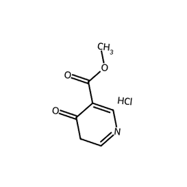 COC(=O)C1=CN=CCC1=O.Cl